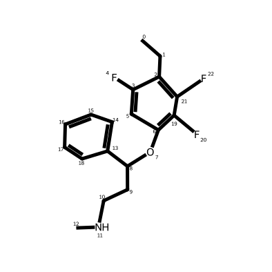 CCc1c(F)cc(OC(CCNC)c2ccccc2)c(F)c1F